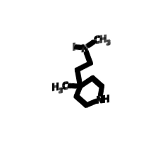 CN(I)CCC1(C)CCNCC1